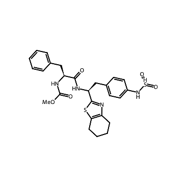 COC(=O)N[C@@H](Cc1ccccc1)C(=O)N[C@@H](Cc1ccc(N[SH](=O)=O)cc1)c1nc2c(s1)CCCC2